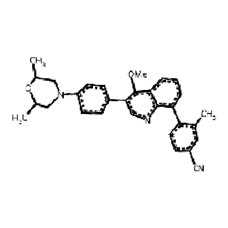 COc1c(-c2ccc(N3CC(C)OC(C)C3)cc2)cnc2c(-c3ccc(C#N)cc3C)cccc12